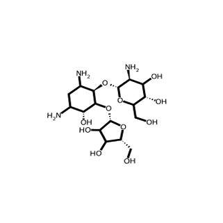 NC1CC(N)[C@@H](O[C@H]2OC(CO)[C@@H](O)C(O)[C@@H]2N)C(O[C@@H]2O[C@H](CO)C(O)C2O)[C@@H]1O